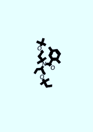 CCC(COC(C)(C)CC)N(C(=O)c1cc(C)ccc1C)C(C)(C)CCOC(C)(C)C